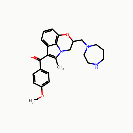 COc1ccc(C(=O)c2c(C)n3c4c(cccc24)OC(CN2CCCNCC2)C3)cc1